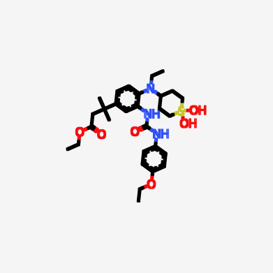 CCOC(=O)CC(C)(C)c1ccc(N(CC)C2CCS(O)(O)CC2)c(NC(=O)Nc2ccc(OCC)cc2)c1